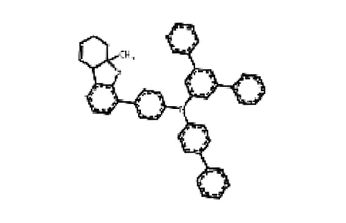 CC12CCC=CC1c1cccc(-c3ccc(N(c4ccc(-c5ccccc5)cc4)c4cc(-c5ccccc5)cc(-c5ccccc5)c4)cc3)c1S2